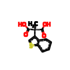 CC(C(=O)O)(C(=O)O)c1csc2ccccc12